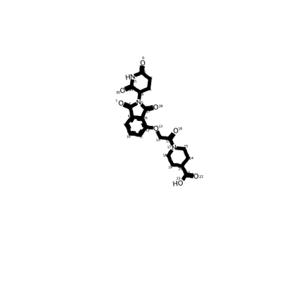 O=C1CCC(N2C(=O)c3cccc(OCC(=O)N4CCC(C(=O)O)CC4)c3C2=O)C(=O)N1